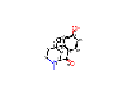 CC12CCNC(C1)C(=O)c1ccc(O)cc12